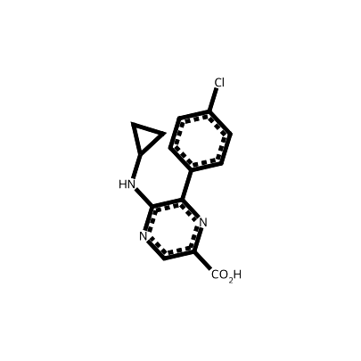 O=C(O)c1cnc(NC2CC2)c(-c2ccc(Cl)cc2)n1